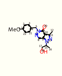 COc1ccc(Cn2ncc3c(c(C)nn3C(C)CO)c2=O)cc1